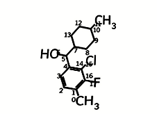 Cc1ccc(C(O)C2CCC(C)CC2)c(Cl)c1F